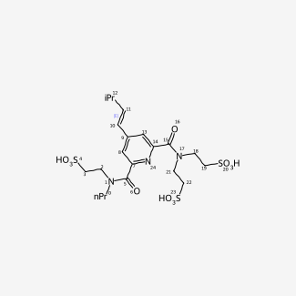 CCCN(CCS(=O)(=O)O)C(=O)c1cc(/C=C/C(C)C)cc(C(=O)N(CCS(=O)(=O)O)CCS(=O)(=O)O)n1